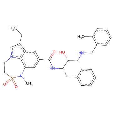 CCc1cn2c3c(cc(C(=O)N[C@@H](Cc4ccccc4)[C@H](O)CNCc4ccccc4C)cc13)N(C)S(=O)(=O)CC2